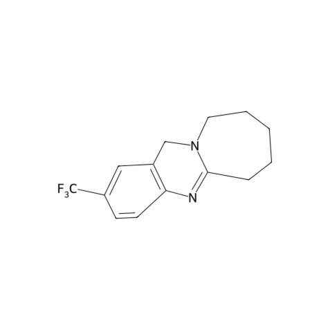 FC(F)(F)c1ccc2c(c1)CN1CCCCCC1=N2